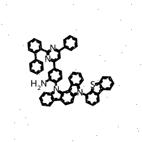 Nc1cc(-c2cc(-c3ccccc3)nc(-c3ccccc3-c3ccccc3)n2)ccc1-n1c2ccccc2c2ccc3c(c4ccccc4n3-c3cccc4c3sc3ccccc34)c21